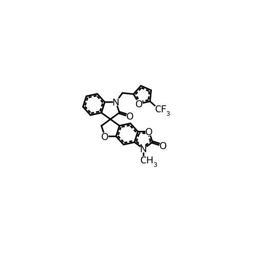 Cn1c(=O)oc2cc3c(cc21)OCC31C(=O)N(Cc2ccc(C(F)(F)F)o2)c2ccccc21